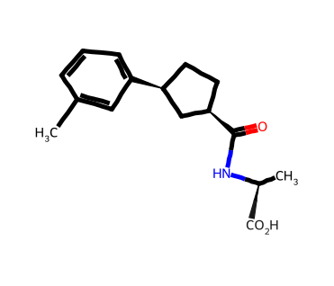 Cc1cccc([C@H]2CC[C@@H](C(=O)N[C@@H](C)C(=O)O)C2)c1